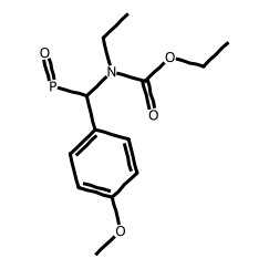 CCOC(=O)N(CC)C(P=O)c1ccc(OC)cc1